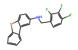 Fc1ccc(CNc2ccc3sc4ccccc4c3c2)c(F)c1F